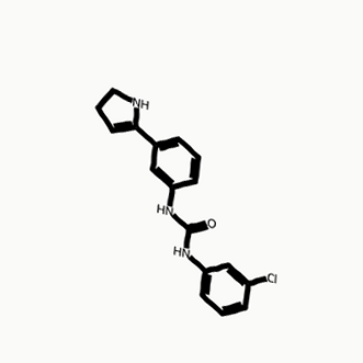 O=C(Nc1cccc(Cl)c1)Nc1cccc(C2=CCCN2)c1